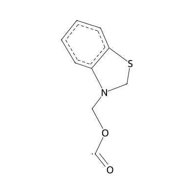 O=[C]OCN1CSc2ccccc21